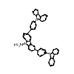 Nn1c2ccc(-c3ccc(-n4c5ccccc5c5ccccc54)cc3)cc2c2cc(-c3ccc(-n4c5ccccc5c5ccccc54)cc3)ccc21